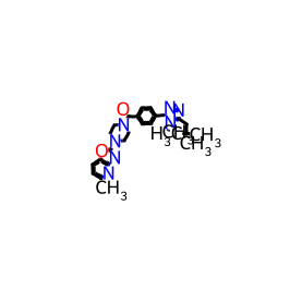 Cc1ccc2oc(N3CCN(C(=O)c4ccc(-c5nnc(CC(C)(C)C)n5C)cc4)CC3)nc2n1